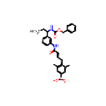 CCOC(=O)CC(NC(=O)OCc1ccccc1)c1cccc(NC(=O)C=CCc2c(C)cc(B(O)O)cc2C)c1